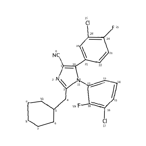 N#Cc1nc(CC2CCCCC2)n(-c2cccc(Cl)c2F)c1-c1ccc(F)c(Cl)c1